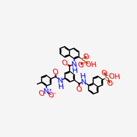 Cc1ccc(C(=O)Nc2cc(C(=O)Nc3cccc4cc(S(=O)(=O)O)ccc34)cc(C(=O)Nc3c(S(=O)(=O)O)ccc4ccccc34)c2)cc1[N+](=O)[O-]